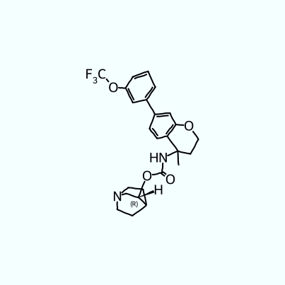 CC1(NC(=O)O[C@H]2CN3CCC2CC3)CCOc2cc(-c3cccc(OC(F)(F)F)c3)ccc21